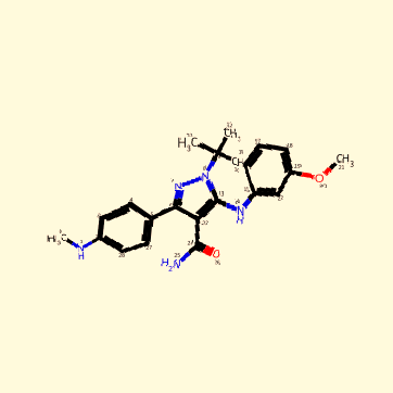 CNc1ccc(-c2nn(C(C)(C)C)c(Nc3cccc(OC)c3)c2C(N)=O)cc1